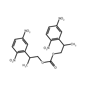 CC(COC(=O)OCC(C)c1cc([N+](=O)[O-])ccc1[N+](=O)[O-])c1cc([N+](=O)[O-])ccc1[N+](=O)[O-]